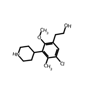 COc1c(CCO)cc(Cl)c(C)c1C1CCNCC1